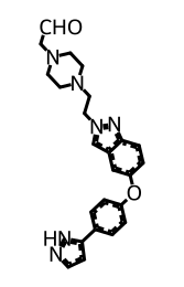 O=CCN1CCN(CCn2cc3cc(Oc4ccc(-c5ccn[nH]5)cc4)ccc3n2)CC1